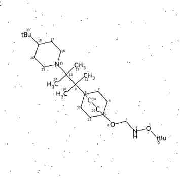 CC(C)(C)ONCOC12CCC(C(C)(C)C(C)(C)N3CCC(C(C)(C)C)CC3)(CC1)CC2